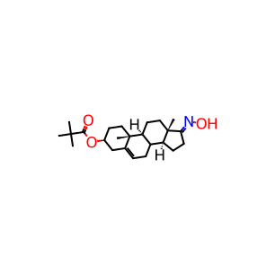 CC(C)(C)C(=O)O[C@H]1CC[C@@]2(C)C(=CCC3[C@@H]2CC[C@]2(C)/C(=N/O)CC[C@@H]32)C1